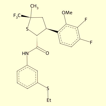 CCSc1cccc(NC(=O)[C@@H]2S[C@@](C)(C(F)(F)F)C[C@H]2c2ccc(F)c(F)c2OC)c1